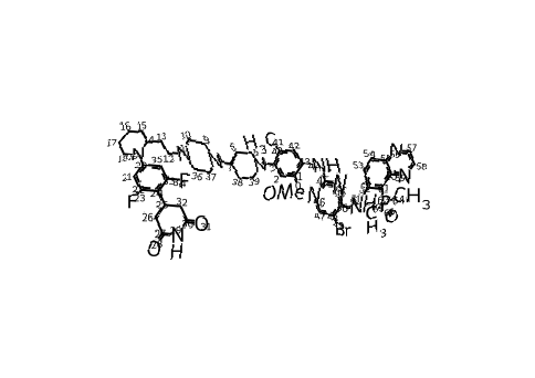 COc1cc(N2CCC(N3CCN(CCC4CCCCN4c4cc(F)c(C5CC(=O)NC(=O)C5)c(F)c4)CC3)CC2)c(C)cc1Nc1ncc(Br)c(Nc2ccc3nccnc3c2P(C)(C)=O)n1